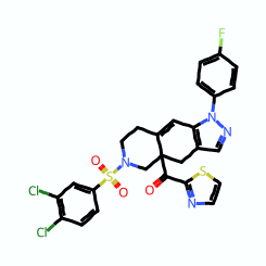 O=C(c1nccs1)C12Cc3cnn(-c4ccc(F)cc4)c3C=C1CCN(S(=O)(=O)c1ccc(Cl)c(Cl)c1)C2